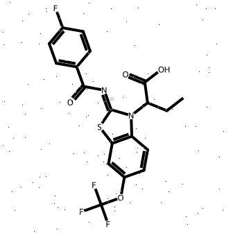 CCC(C(=O)O)n1/c(=N/C(=O)c2ccc(F)cc2)sc2cc(OC(F)(F)F)ccc21